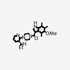 CCNc1cccnc1N1CCN(C(=O)c2c[nH]c3c(C)c(C)c(OC)c(C)c23)CC1